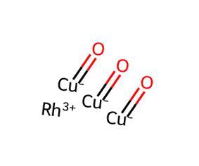 [O]=[Cu-].[O]=[Cu-].[O]=[Cu-].[Rh+3]